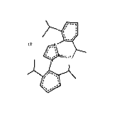 CC(C)c1cccc(C(C)C)c1-n1ccn(-c2c(C(C)C)cccc2C(C)C)[c]1=[Au+].[Cl-]